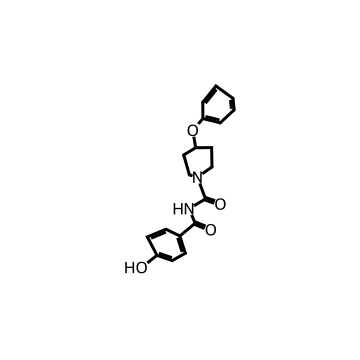 O=C(NC(=O)N1CCC(Oc2ccccc2)CC1)c1ccc(O)cc1